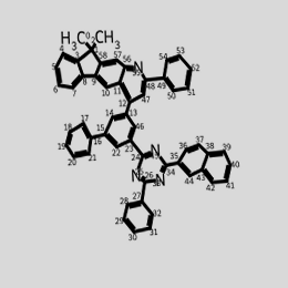 CC1(C)c2ccccc2-c2cc3c(-c4cc(-c5ccccc5)cc(-c5nc(-c6ccccc6)nc(-c6ccc7ccccc7c6)n5)c4)cc(-c4ccccc4)nc3cc21